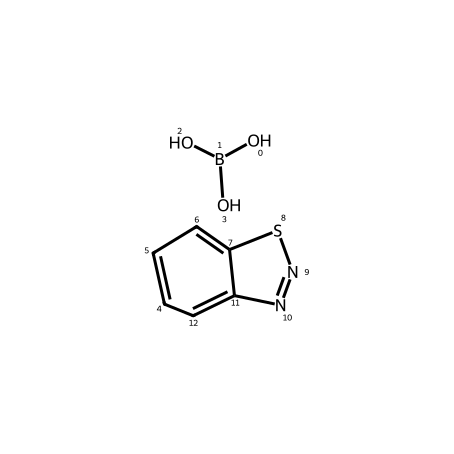 OB(O)O.c1ccc2snnc2c1